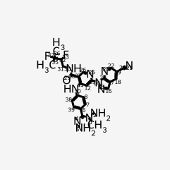 CN(N)/C(=N\N)c1ccc(Nc2cc(-n3ncc4cc(C#N)cnc43)ncc2C(=O)NCC(F)C(C)(C)F)cc1